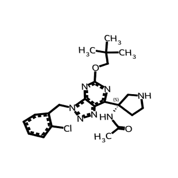 CC(=O)N[C@@]1(c2nc(OCC(C)(C)C)nc3c2nnn3Cc2ccccc2Cl)CCNC1